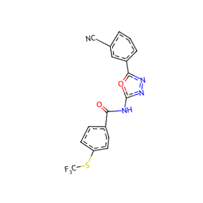 N#Cc1cccc(-c2nnc(NC(=O)c3ccc(SC(F)(F)F)cc3)o2)c1